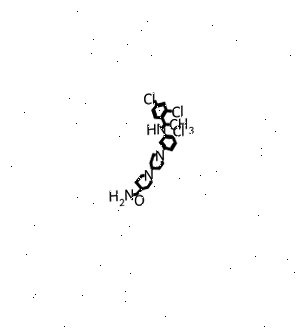 CC(Nc1cc(N2CCC(N3CCC(C(N)=O)CC3)CC2)ccc1Cl)c1ccc(Cl)cc1Cl